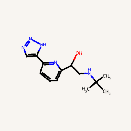 CC(C)(C)NCC(O)c1cccc(-c2cnn[nH]2)n1